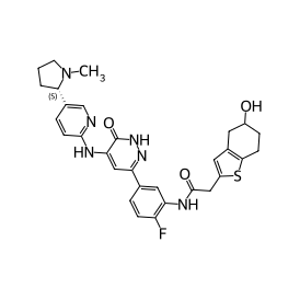 CN1CCC[C@H]1c1ccc(Nc2cc(-c3ccc(F)c(NC(=O)Cc4cc5c(s4)CCC(O)C5)c3)n[nH]c2=O)nc1